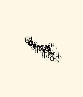 COc1ccc(S(=O)(=O)NCC(O)CN(CC(C)(C)CCO[Si](C)(C)C(C)(C)C)C(=O)O)cc1